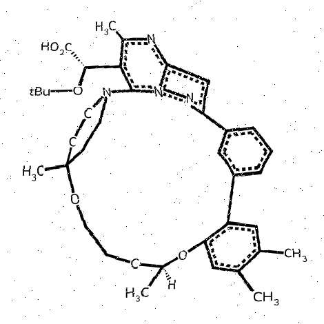 Cc1cc2c(cc1C)-c1cccc(c1)-c1cc3nc(C)c([C@H](OC(C)(C)C)C(=O)O)c(n3n1)N1CCC(C)(CC1)OCCC[C@H](C)O2